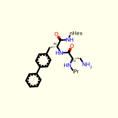 CCCCCCNC(=O)[C@@H](Cc1ccc(-c2ccccc2)cc1)NC(=O)[C@H](CN)NC(C)C